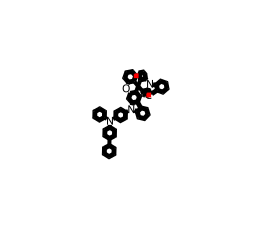 c1ccc(-c2ccc(N(c3ccccc3)c3ccc(-n4c5ccccc5c5cc6c(cc54)Oc4ccccc4C64c5ccccc5-n5c6ccccc6c6cccc4c65)cc3)cc2)cc1